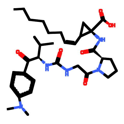 CCCCCC/C=C\C1C[C@]1(NC(=O)[C@@H]1CCCN1C(=O)CNC(=O)N[C@H](C(=O)c1ccc(N(C)C)cc1)C(C)C)C(=O)O